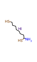 I.NC(S)CCCCCCCS